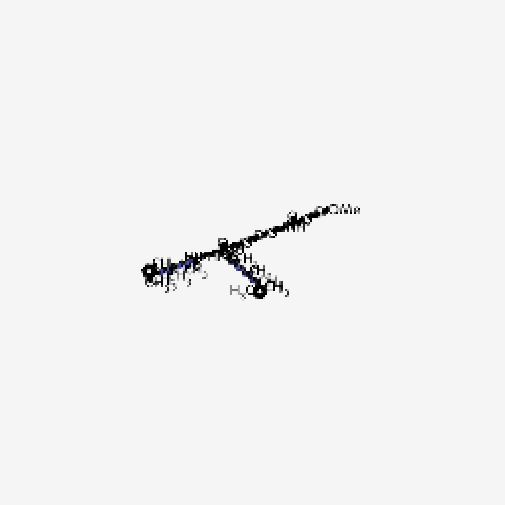 COCCOCCOCCC(=O)NCCCOCCOCCOCCCNC(=O)[C@H](CCCCNC(=O)/C=C(C)/C=C/C=C(C)/C=C/C1=C(C)CCCC1(C)C)NC(=O)/C=C(C)/C=C/C=C(C)/C=C/C1=C(C)CCCC1(C)C